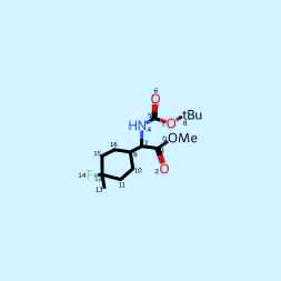 COC(=O)C(NC(=O)OC(C)(C)C)C1CCC(C)(F)CC1